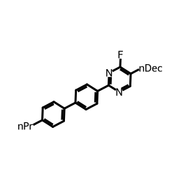 CCCCCCCCCCc1cnc(-c2ccc(-c3ccc(CCC)cc3)cc2)nc1F